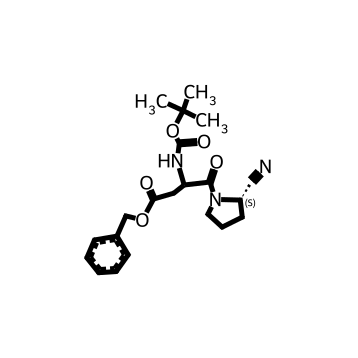 CC(C)(C)OC(=O)NC(CC(=O)OCc1ccccc1)C(=O)N1CCC[C@H]1C#N